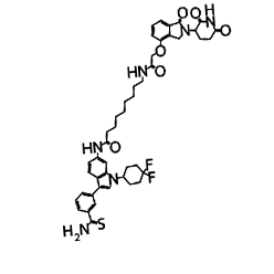 NC(=S)c1cccc(-c2cn(C3CCC(F)(F)CC3)c3cc(NC(=O)CCCCCCCCNC(=O)COc4cccc5c4CN(C4CCC(=O)NC4=O)C5=O)ccc23)c1